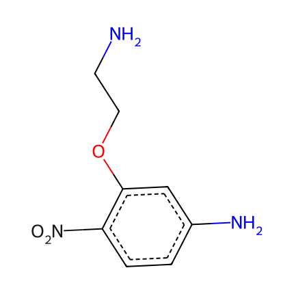 NCCOc1cc(N)ccc1[N+](=O)[O-]